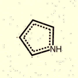 [c]1[c][nH]cc1